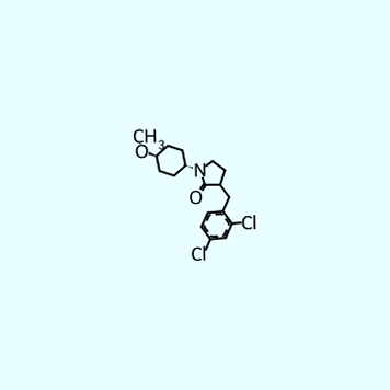 CO[C@H]1CC[C@H](N2CCC(Cc3ccc(Cl)cc3Cl)C2=O)CC1